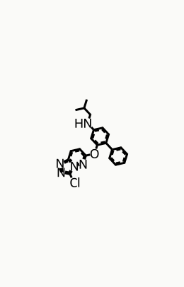 CC(C)CNc1ccc(-c2ccccc2)c(Oc2ccc3nnc(Cl)n3n2)c1